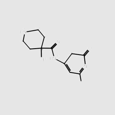 CC1(C(=N)NC2=CC(F)=NC(=O)C2)CCNCC1